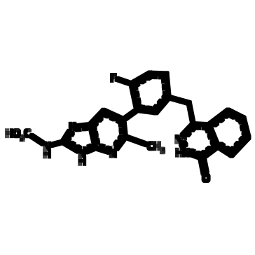 Cc1nc2[nH]c(NC(=O)O)nc2cc1-c1cc(Cc2n[nH]c(=O)c3ccccc23)ccc1F